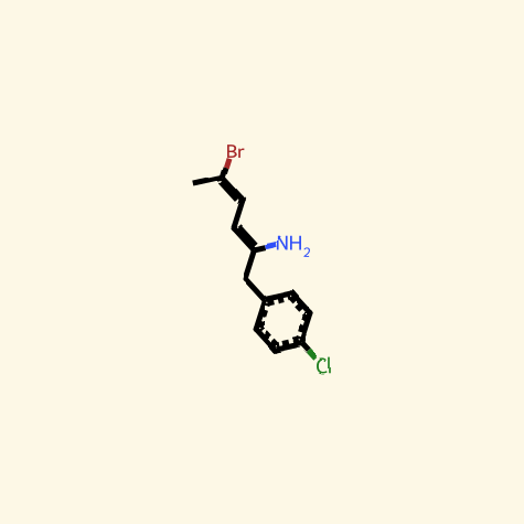 C/C(Br)=C\C=C(/N)Cc1ccc(Cl)cc1